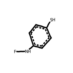 FNc1ccc(S)cc1